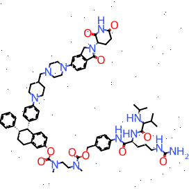 CC(C)N[C@H](C(=O)N[C@@H](CCCNC(N)=O)C(=O)Nc1ccc(COC(=O)N(C)CCN(C)C(=O)Oc2ccc3c(c2)CC[C@H](c2ccccc2)[C@@H]3c2ccc(N3CCC(CN4CCN(c5ccc6c(c5)CN([C@H]5CCC(=O)NC5=O)C6=O)CC4)CC3)cc2)cc1)C(C)C